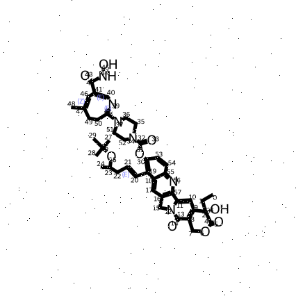 CC[C@@]1(O)C(=O)OCc2c1cc1n(c2=O)Cc2cc3c(/C=C/CC(C)OC(C)(C)C)c(OC(=O)N4CCN(/C5=N/C=C(C(=O)NO)\C=C(\C)CC5)CC4)ccc3nc2-1